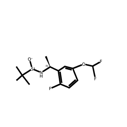 C[C@H](N[S+]([O-])C(C)(C)C)c1cc(OC(F)F)ccc1F